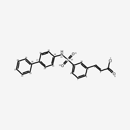 O=C(Cl)/C=C/c1cccc(S(=O)(=O)Nc2ccc(-c3ccccc3)cc2)c1